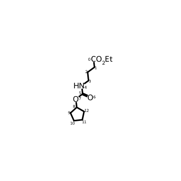 CCOC(=O)CCCNC(=O)OC1CCCC1